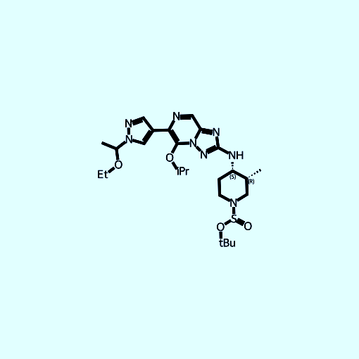 CCOC(C)n1cc(-c2ncc3nc(N[C@H]4CCN(S(=O)OC(C)(C)C)C[C@H]4C)nn3c2OC(C)C)cn1